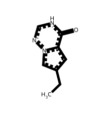 CCc1cc2c(=O)[nH]cnn2c1